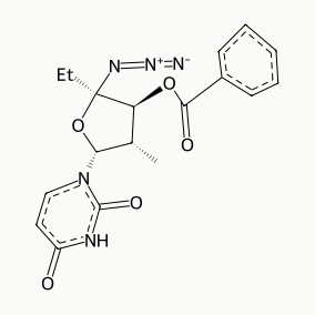 CC[C@@]1(N=[N+]=[N-])O[C@@H](n2ccc(=O)[nH]c2=O)[C@@H](C)[C@@H]1OC(=O)c1ccccc1